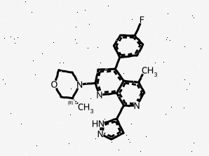 Cc1cnc(-c2ccn[nH]2)c2nc(N3CCOC[C@H]3C)cc(-c3ccc(F)cc3)c12